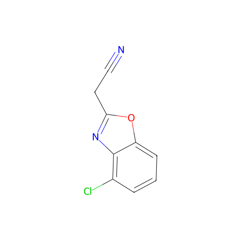 N#CCc1nc2c(Cl)cccc2o1